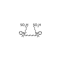 CC1(C)C(/C=C/C=C/C=C/C=C2\N(CCCCCS(=O)(=O)O)c3ccccc3C2(C)C)=[N+](CCCCCS(=O)(=O)O)c2ccccc21